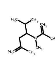 C=C(C)CC(C(C)C)N(C)C(=C)C